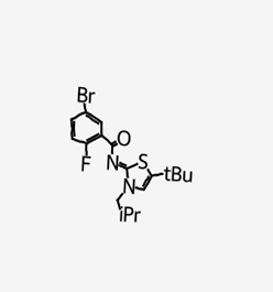 CC(C)Cn1cc(C(C)(C)C)sc1=NC(=O)c1cc(Br)ccc1F